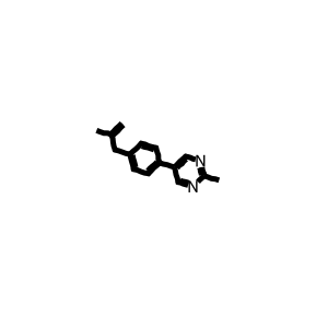 C=C(C)Cc1ccc(-c2cnc(C)nc2)cc1